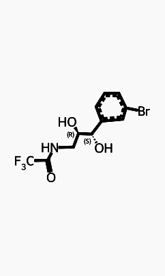 O=C(NC[C@@H](O)[C@@H](O)c1cccc(Br)c1)C(F)(F)F